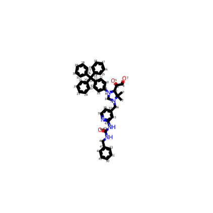 CC1(C)C(C(=O)C=O)N(c2ccc(C(c3ccccc3)(c3ccccc3)c3ccccc3)cc2)CN1Cc1ccnc(NC(=O)NCc2ccccc2)c1